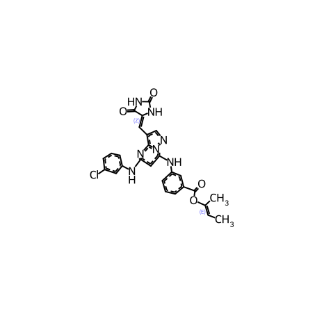 C/C=C(\C)OC(=O)c1cccc(Nc2cc(Nc3cccc(Cl)c3)nc3c(/C=C4\NC(=O)NC4=O)cnn23)c1